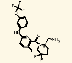 NC[C@H]1CCC(F)(F)CN1C(=O)c1nc(Nc2cccc(OC(F)(F)F)c2)ccc1F